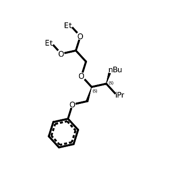 CCCC[C@@H](C(C)C)[C@@H](COc1ccccc1)OCC(OCC)OCC